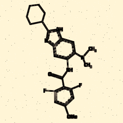 COc1cc(F)c(C(=O)Nc2cc3nc(C4CCCCC4)[nH]c3cc2N(C)C)c(F)c1